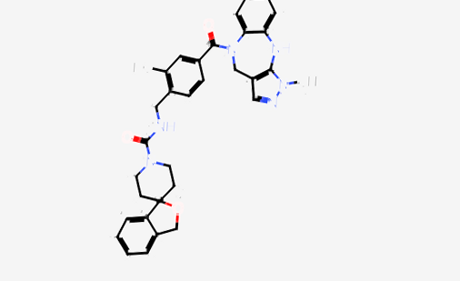 Cc1cc(C(=O)N2Cc3cnn(C)c3Nc3ccccc32)ccc1CNC(=O)N1CCC2(CC1)OCc1ccccc12